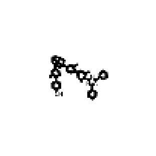 Cc1cc(C23CC4CC(C2)CC(c2ccc(-c5cc(C)c(-c6nc(-c7ccccc7)nc(-c7ccccc7)n6)c(C)c5)c(C)c2)(C4)C3)ccc1-c1ccc(C#N)cc1